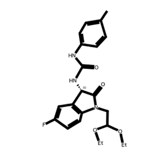 CCOC(CN1C(=O)[C@@H](NC(=O)Nc2ccc(C)cc2)c2cc(F)ccc21)OCC